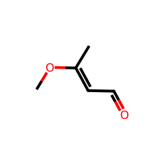 COC(C)=CC=O